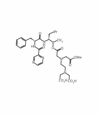 COC(=O)CN(CCN(CC(=O)O)CC(=O)O)CC(=O)OB(C)[C@H](CC(C)C)NC(=O)[C@H](Cc1ccccc1)NC(=O)c1cnccn1